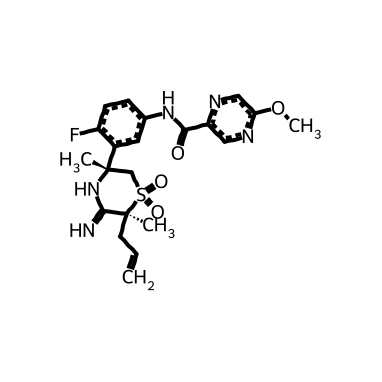 C=CC[C@@]1(C)C(=N)N[C@](C)(c2cc(NC(=O)c3cnc(OC)cn3)ccc2F)CS1(=O)=O